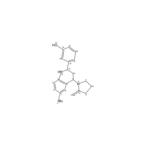 CC(C)(C)c1ccc2c(c1)C(N1CCCC1=O)CC(c1cccc(O)c1)N2